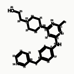 Cc1nc(Nc2ccc(Cc3cccnc3)cc2)nc(N2CCN(CCO)CC2)n1